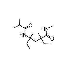 CCC(C)(CC(C)(CC)C(=O)NC)NC(=O)C(C)C